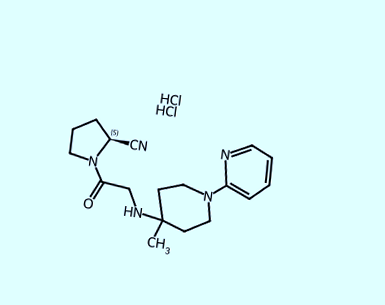 CC1(NCC(=O)N2CCC[C@H]2C#N)CCN(c2ccccn2)CC1.Cl.Cl